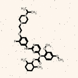 COc1ccc(N(C(=O)OC2C(C)CCCC2C)c2ccnc(Nc3ccc(OCCN4CCN(C(C)C)CC4)c(F)c3)n2)c(OC)c1